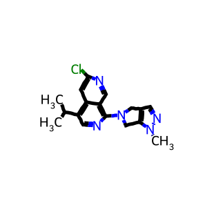 CC(C)c1cnc(N2Cc3cnn(C)c3C2)c2cnc(Cl)cc12